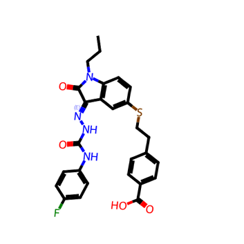 CCCN1C(=O)/C(=N/NC(=O)Nc2ccc(F)cc2)c2cc(SCCc3ccc(C(=O)O)cc3)ccc21